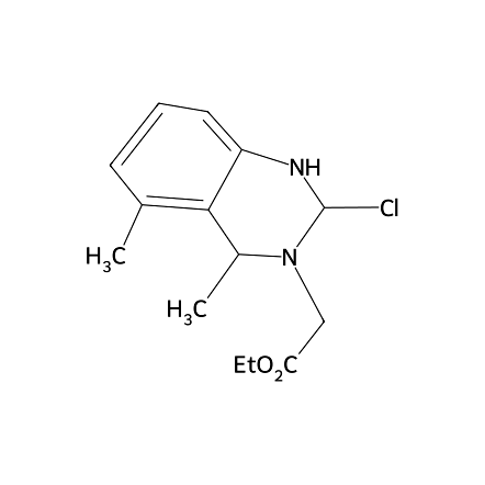 CCOC(=O)CN1C(Cl)Nc2cccc(C)c2C1C